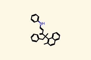 C=C(C=CNc1ccccc1)C(C)(Cc1ccccc1)c1c(C)ccc2ccccc12